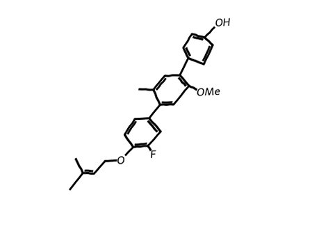 COc1cc(-c2ccc(OCC=C(C)C)c(F)c2)c(C)cc1-c1ccc(O)cc1